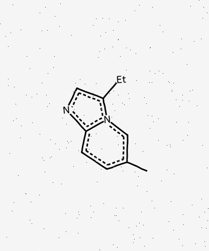 CCc1cnc2ccc(C)cn12